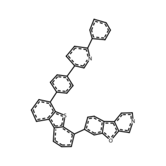 c1ccc(-c2ccc(-c3ccc(-c4cccc5c4sc4c(-c6ccc7c(c6)oc6cnccc67)cccc45)cc3)cn2)cc1